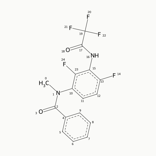 CN(C(=O)c1ccccc1)c1ccc(F)c(NC(=O)C(F)(F)F)c1F